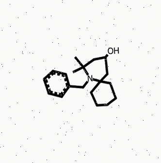 CC1(C)CC(O)CC2(CCCCC2)N1Cc1ccccc1